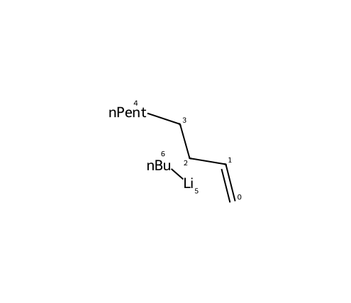 C=CCCCCCCC.[Li][CH2]CCC